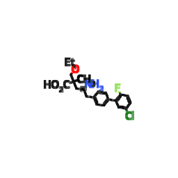 CCOCC(C)(C[C@H](N)Cc1ccc(-c2cc(Cl)ccc2F)cc1)C(=O)O